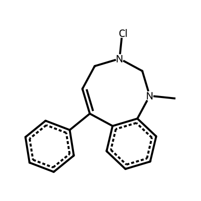 CN1CN(Cl)CC=C(c2ccccc2)c2ccccc21